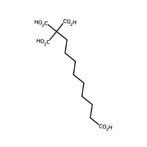 O=C(O)CCCCCCCCC(C(=O)O)(C(=O)O)C(=O)O